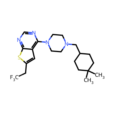 CC1(C)CCC(CN2CCN(c3ncnc4sc(CC(F)(F)F)cc34)CC2)CC1